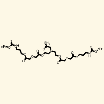 BC(=O)CN(CCOC(=O)COCC(=O)OCCCNC(=O)OCCC)CCOC(=O)COCC(=O)OCCCNC(=O)OCCC